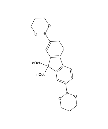 CCCCCCCCC1(CCCCCCCC)C2=C(CCC(B3OCCCO3)=C2)c2ccc(B3OCCCO3)cc21